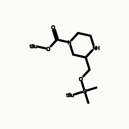 CC(C)(C)OC(=O)N1CCNC(CO[Si](C)(C)C(C)(C)C)C1